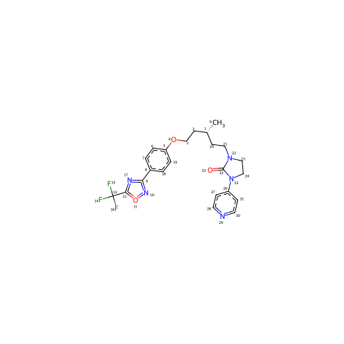 C[C@@H](CCOc1ccc(-c2noc(C(F)(F)F)n2)cc1)CCN1CCN(c2ccncc2)C1=O